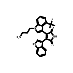 NCCCn1cc(C2=C(c3c[nH]c4ccccc34)C(=O)NC2=O)c2c(C(F)(F)F)cccc21